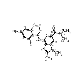 Cc1nc2c(OC3CCOc4cc(F)cc(F)c43)cc(C(=O)N(C)C)cc2n1C